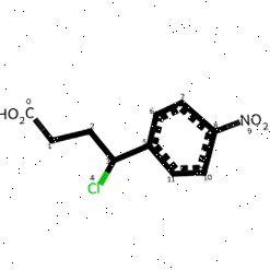 O=C(O)CCC(Cl)c1ccc([N+](=O)[O-])cc1